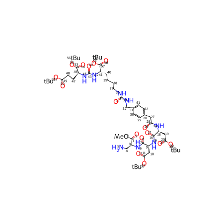 COC(=O)[C@H](CN)NC(=O)[C@H](CC(=O)OC(C)(C)C)NC(=O)[C@H](CC(=O)OC(C)(C)C)NC(=O)Cc1ccc(CNC(=O)NCCCC[C@H](NC(=O)N[C@@H](CCC(=O)OC(C)(C)C)C(=O)OC(C)(C)C)C(=O)OC(C)(C)C)cc1